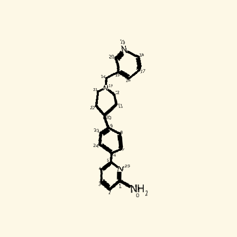 Nc1cccc(-c2ccc(C3CCN(Cc4cccnc4)CC3)cc2)n1